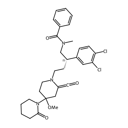 COC1(N2CCCCC2=O)CCN(CC[C@H](CN(C)C(=O)c2ccccc2)c2ccc(Cl)c(Cl)c2)C(=C=O)C1